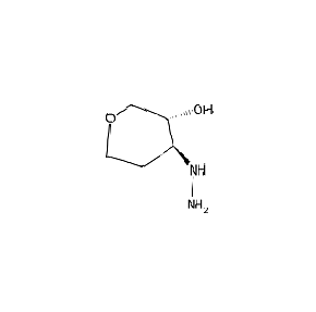 NN[C@H]1CCOC[C@@H]1O